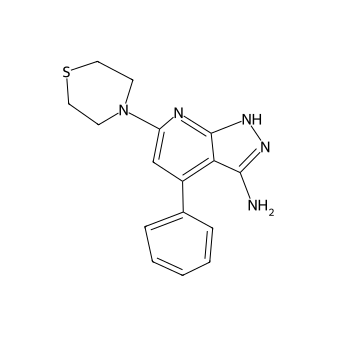 Nc1n[nH]c2nc(N3CCSCC3)cc(-c3ccccc3)c12